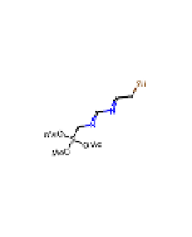 CO[Si](CN=CN=CCS)(OC)OC